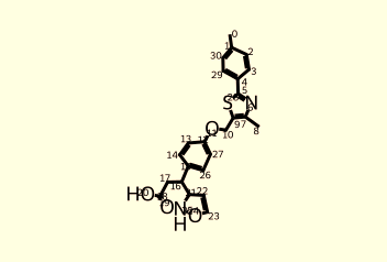 Cc1ccc(-c2nc(C)c(COc3ccc(C(CC(=O)O)C4C=CON4)cc3)s2)cc1